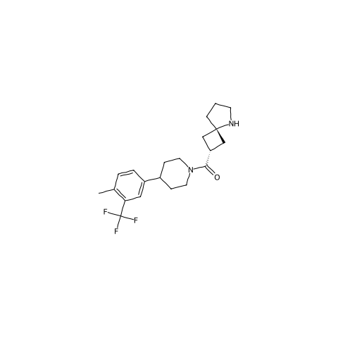 Cc1ccc(C2CCN(C(=O)[C@H]3C[C@]4(CCCN4)C3)CC2)cc1C(F)(F)F